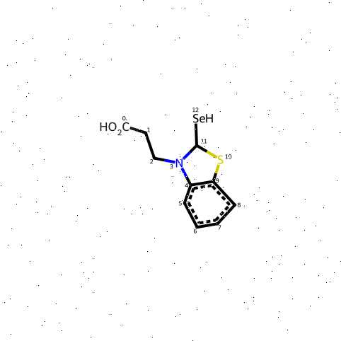 O=C(O)CCN1c2ccccc2SC1[SeH]